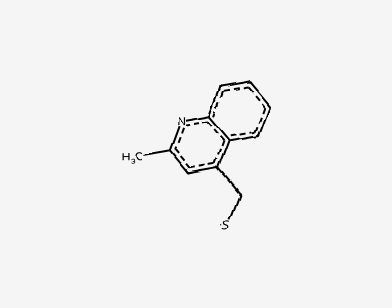 Cc1cc(C[S])c2ccccc2n1